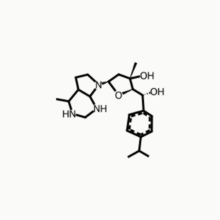 CC(C)c1ccc([C@@H](O)[C@H]2O[C@@H](N3CCC4C(C)NCNC43)C[C@]2(C)O)cc1